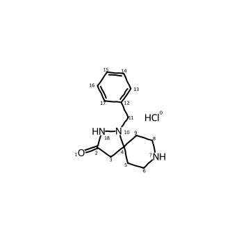 Cl.O=C1CC2(CCNCC2)N(Cc2ccccc2)N1